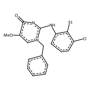 CCc1c(Cl)cccc1Nc1nc(=O)c(OC)cn1Cc1ccccc1